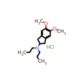 CCCN(CCC)C1Cc2cc(OC)c(OC)cc2C1.Cl